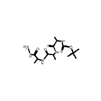 CC(NC(=O)OC(C)(C)C)C(=O)NC(C)C(=O)NC(C)C(=O)NN